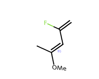 C=C(F)/C=C(\C)OC